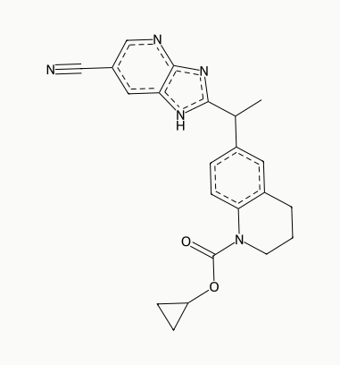 CC(c1ccc2c(c1)CCCN2C(=O)OC1CC1)c1nc2ncc(C#N)cc2[nH]1